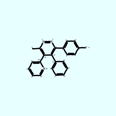 Cc1nnc(-c2ccc(F)cc2)c(-c2ccccc2)c1-c1ccccn1